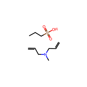 C=CCN(C)CC=C.CCCS(=O)(=O)O